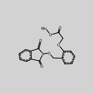 CC(C)(C)OC(=O)COc1ccccc1CON1C(=O)c2ccccc2C1=O